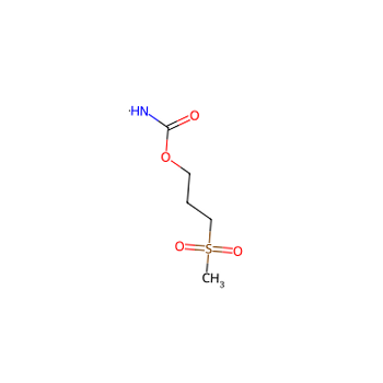 CS(=O)(=O)CCCOC([NH])=O